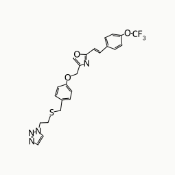 FC(F)(F)Oc1ccc(C=Cc2nc(COc3ccc(CSCCn4ccnn4)cc3)co2)cc1